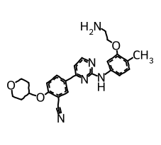 Cc1ccc(Nc2nccc(-c3ccc(OC4CCOCC4)c(C#N)c3)n2)cc1OCCN